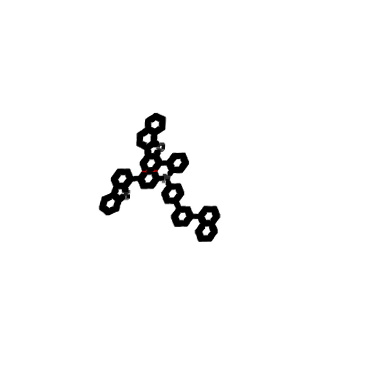 c1cc(-c2ccc(N(c3ccc(-c4cccc5c4sc4ccccc45)cc3)c3ccccc3-c3cccc4c3oc3c5ccccc5ccc43)cc2)cc(-c2cccc3ccccc23)c1